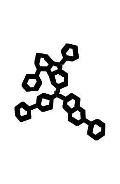 c1ccc(-c2ccc(N(c3ccc4cc(-c5ccccc5)ccc4c3)c3ccc4c(c3)c3c(-c5ccccc5)cccc3n4-c3ccccc3)cc2)cc1